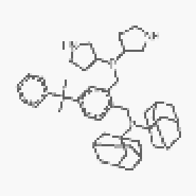 CC(C)(c1ccccc1)c1ccc(CP(C23CC4CC(CC(C4)C2)C3)C23CC4CC(CC(C4)C2)C3)c(CP(C2CCNC2)C2CCNC2)c1